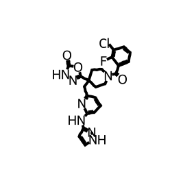 O=C(c1cccc(Cl)c1F)N1CCC(Cc2cccc(Nc3cc[nH]n3)n2)(c2n[nH]c(=O)o2)CC1